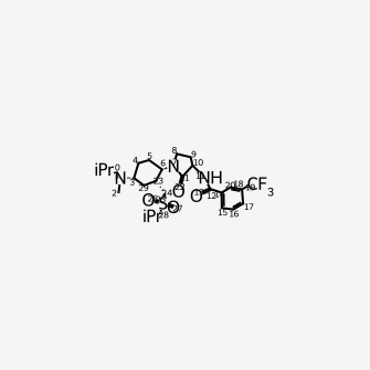 CC(C)N(C)[C@@H]1CC[C@H](N2CCC(NC(=O)c3cccc(C(F)(F)F)c3)C2=O)[C@H](CS(=O)(=O)C(C)C)C1